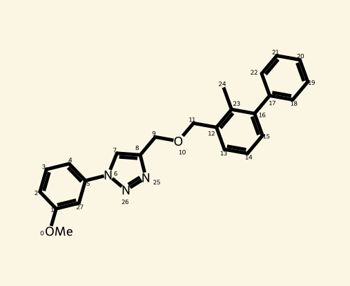 COc1cccc(-n2cc(COCc3cccc(-c4ccccc4)c3C)nn2)c1